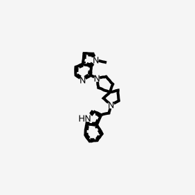 Cn1ccc2ccnc(N3CCC4(CCN(Cc5c[nH]c6ccccc56)C4)C3)c21